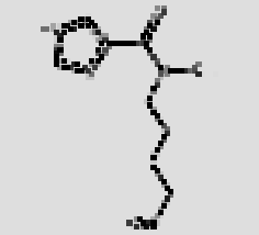 CCCCCCCCCCCCN(C)C(=O)c1c[nH]cn1